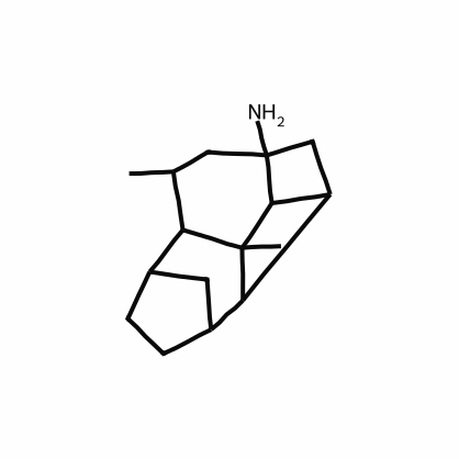 CC1CC2(N)CC3C4C5CCC(C5)C1C4(C)C32